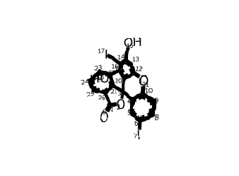 O=C1OC2(c3cc(I)ccc3Oc3cc(O)c(I)c(O)c32)c2ccccc21